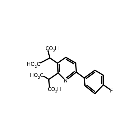 O=C(O)C(C(=O)O)c1ccc(-c2ccc(F)cc2)nc1C(C(=O)O)C(=O)O